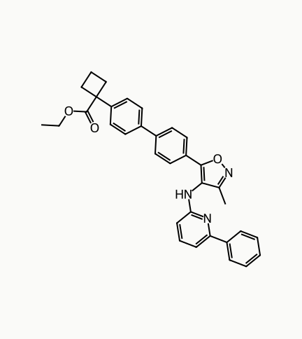 CCOC(=O)C1(c2ccc(-c3ccc(-c4onc(C)c4Nc4cccc(-c5ccccc5)n4)cc3)cc2)CCC1